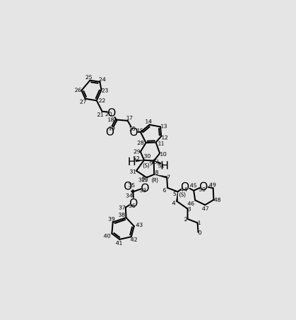 CCCCC[C@@H](CC[C@@H]1[C@H]2Cc3cccc(OCC(=O)OCc4ccccc4)c3C[C@H]2C[C@H]1OC(=O)OCc1ccccc1)OC1CCCCO1